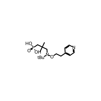 CC(C)(CN(OCCc1ccncc1)C(C)(C)C)CP(=O)(O)O